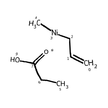 C=C[CH2][Ni][CH3].CCC(=O)O